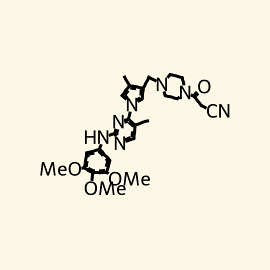 COc1cc(Nc2ncc(C)c(-n3cc(C)c(CN4CCN(C(=O)CC#N)CC4)c3)n2)cc(OC)c1OC